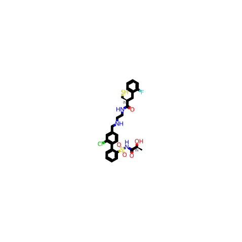 C[C@H](O)C(=O)NS(=O)(=O)c1ccccc1-c1ccc(CNCCNC(=O)[C@@H](CS)Cc2ccccc2F)cc1Cl